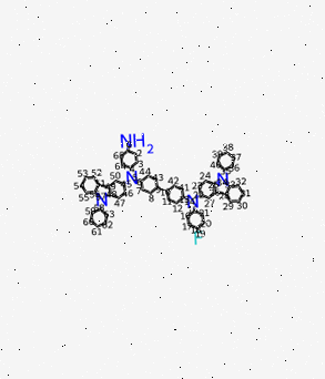 Nc1ccc(N(c2ccc(-c3ccc(N(c4ccc(F)cc4)c4ccc5c(c4)c4ccccc4n5-c4ccccc4)cc3)cc2)c2ccc3c(c2)c2ccccc2n3-c2ccccc2)cc1